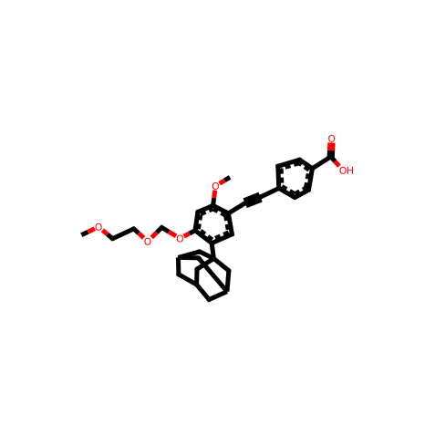 COCCOCOc1cc(OC)c(C#Cc2ccc(C(=O)O)cc2)cc1C12CC3CC(CC(C3)C1)C2